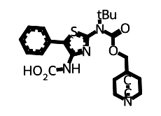 CC(C)(C)N(C(=O)OCC12CCN(CC1)CC2)c1nc(NC(=O)O)c(-c2ccccc2)s1